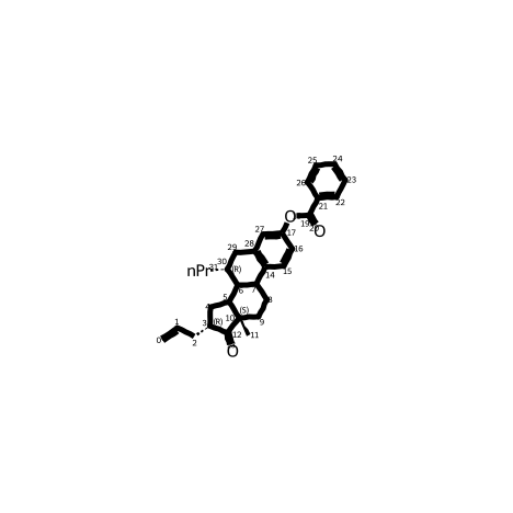 C=CC[C@@H]1CC2C3C(CC[C@]2(C)C1=O)c1ccc(OC(=O)c2ccccc2)cc1C[C@H]3CCC